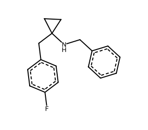 Fc1ccc(CC2(NCc3ccccc3)CC2)cc1